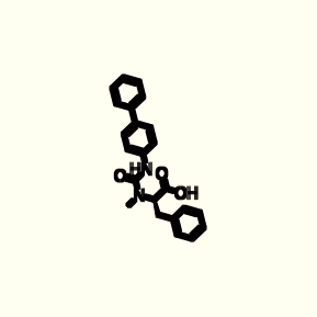 CN(C(=O)Nc1ccc(-c2ccccc2)cc1)[C@H](Cc1ccccc1)C(=O)O